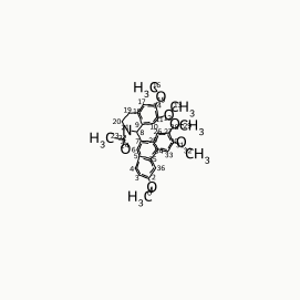 COc1ccc2cc(C3c4cc(OC)c(OC)cc4CCN3C(C)=O)c3cc(OC)c(OC)cc3c2c1